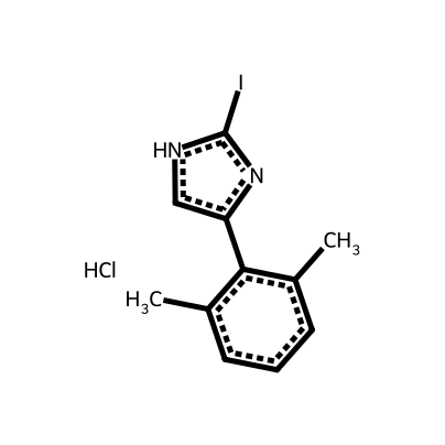 Cc1cccc(C)c1-c1c[nH]c(I)n1.Cl